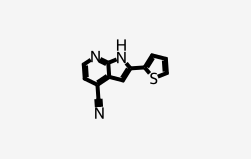 N#Cc1ccnc2[nH]c(-c3cccs3)cc12